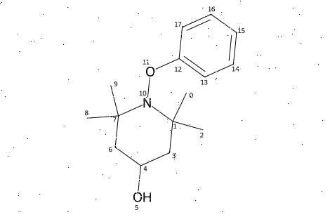 CC1(C)CC(O)CC(C)(C)N1Oc1ccccc1